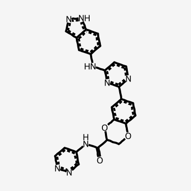 O=C(Nc1ccnnc1)C1COc2ccc(-c3nccc(Nc4ccc5[nH]ncc5c4)n3)cc2O1